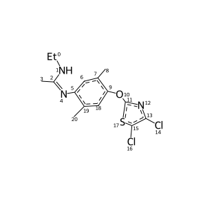 CCNC(C)=Nc1cc(C)c(Oc2nc(Cl)c(Cl)s2)cc1C